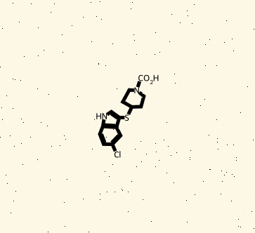 O=C(O)N1CCC(Sc2c[nH]c3ccc(Cl)cc23)CC1